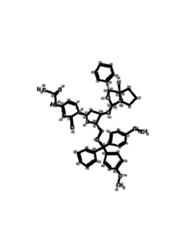 COc1ccc(C(OC[C@H]2O[C@@H](n3ccc(NC(C)=O)nc3=O)CC2O[C@H]2O[C@H](c3ccccc3)[C@@H]3CCCN23)(c2ccccc2)c2ccc(OC)cc2)cc1